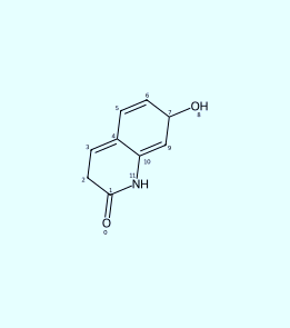 O=C1CC=C2C=CC(O)C=C2N1